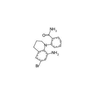 NC(=O)c1ccccc1N1CCCc2cc(Br)cc(N)c21